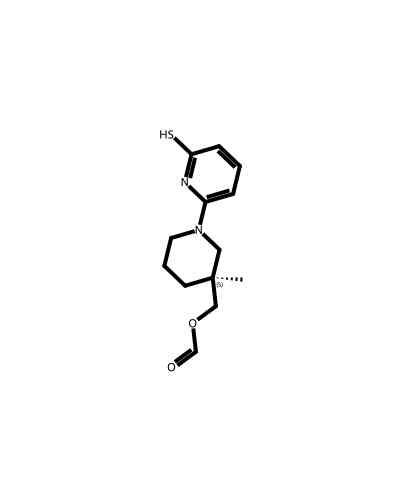 C[C@]1(COC=O)CCCN(c2cccc(S)n2)C1